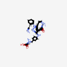 N#C[C@H]1CCCC[C@@H]1n1nc(Nc2ccc(CNC(=O)O)cc2)c2c(=O)[nH]ccc21